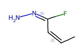 C/C=C\C(F)=N/N